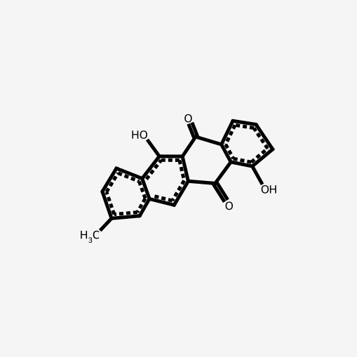 Cc1ccc2c(O)c3c(cc2c1)C(=O)c1c(O)cccc1C3=O